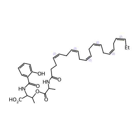 CC/C=C\C/C=C\C/C=C\C/C=C\C/C=C\C/C=C\CCC(=O)NC(C)C(=O)OC(C)C(NC(=O)c1ccccc1O)C(=O)O